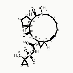 CN1CCCC/C=C\[C@@H]2C[C@@]2(C(=O)NS(=O)(=O)C2(C)CC2)NC(=O)[C@@H]2CCC[C@H]2C1=O